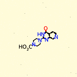 O=C(O)N1CCN(c2nc3cnccc3c(=O)[nH]2)CC1